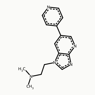 CN(C)CCn1cnc2ncc(-c3ccncc3)cc21